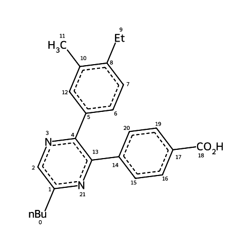 CCCCc1cnc(-c2ccc(CC)c(C)c2)c(-c2ccc(C(=O)O)cc2)n1